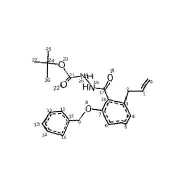 C=CCc1cccc(OCc2ccccc2)c1C(=O)NNC(=O)OC(C)(C)C